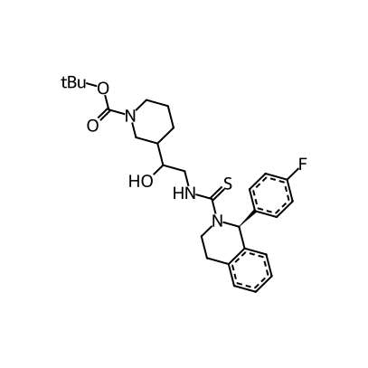 CC(C)(C)OC(=O)N1CCCC(C(O)CNC(=S)N2CCc3ccccc3[C@@H]2c2ccc(F)cc2)C1